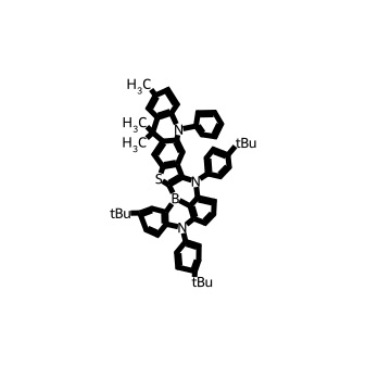 Cc1ccc2c(c1)C(C)(C)c1cc3sc4c(c3cc1N2c1ccccc1)N(c1ccc(C(C)(C)C)cc1)c1cccc2c1B4c1cc(C(C)(C)C)ccc1N2c1ccc(C(C)(C)C)cc1